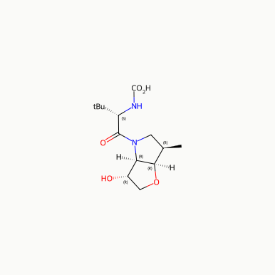 C[C@@H]1CN(C(=O)[C@@H](NC(=O)O)C(C)(C)C)[C@H]2[C@@H]1OC[C@@H]2O